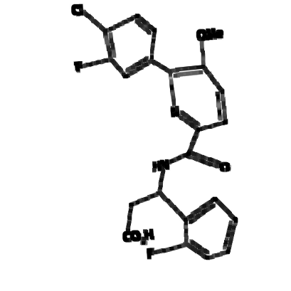 COc1ccc(C(=O)NC(CC(=O)O)c2ccccc2F)nc1-c1ccc(Cl)c(F)c1